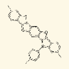 Cc1ccc(-n2c3cc(C)ccc3c3oc4cc5c(cc4c32)sc2c3ccc(C)cc3sc52)cc1